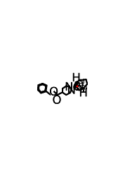 N#CN1[C@@H]2CC[C@H]1C[C@@H](N1CCC(C(=O)OCc3ccccc3)CC1)C2